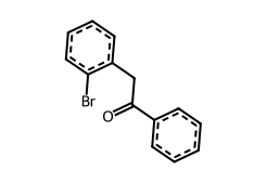 O=C(Cc1ccccc1Br)c1ccccc1